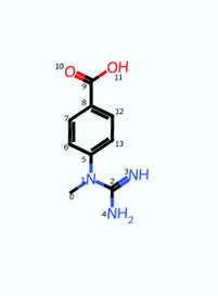 CN(C(=N)N)c1ccc(C(=O)O)cc1